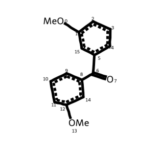 COc1cc[c]c(C(=O)c2[c]ccc(OC)c2)c1